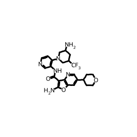 Nc1oc2cc(C3CCOCC3)cnc2c1C(=O)Nc1cnccc1N1CC(N)CC(C(F)(F)F)C1